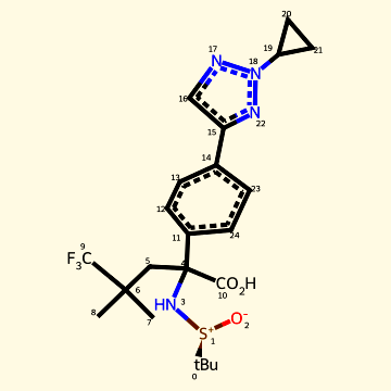 CC(C)(C)[S@+]([O-])NC(CC(C)(C)C(F)(F)F)(C(=O)O)c1ccc(-c2cnn(C3CC3)n2)cc1